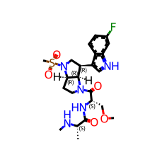 CN[C@@H](C)C(=O)N[C@@H](COC)C(=O)N1CC[C@@H]2[C@H]1[C@H](c1c[nH]c3cc(F)ccc13)CN2S(C)(=O)=O